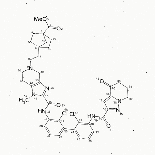 COC(=O)C12CCC(CCN3CCc4c(nc(C(=O)Nc5cccc(-c6cccc(NC(=O)c7cc8n(n7)CCCC8=O)c6Cl)c5Cl)n4C)C3)(CC1)C2